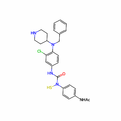 CC(=O)Nc1ccc(N(S)C(=O)Nc2ccc(N(Cc3ccccc3)C3CCNCC3)c(Cl)c2)cc1